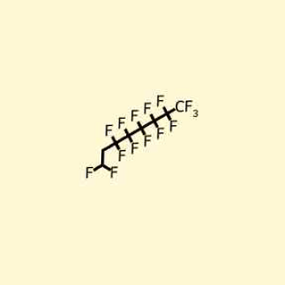 FC(F)CC(F)(F)C(F)(F)C(F)(F)C(F)(F)C(F)(F)C(F)(F)F